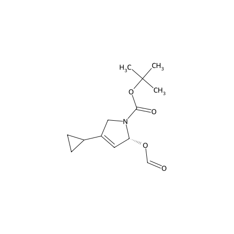 CC(C)(C)OC(=O)N1CC(C2CC2)=C[C@H]1OC=O